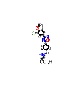 CC(C)Oc1ccc(-c2noc(-c3ccc(CNCCC(=O)O)cc3)n2)cc1Cl